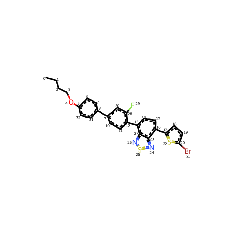 CCCCOc1ccc(-c2ccc(-c3ccc(-c4ccc(Br)s4)c4nsnc34)c(F)c2)cc1